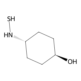 O[C@H]1CC[C@H](NS)CC1